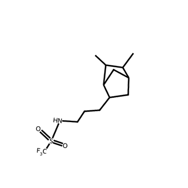 CC1C2CC(CCCNS(=O)(=O)C(F)(F)F)C(C2)C1C